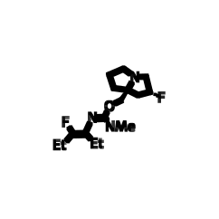 CC/C(F)=C(CC)/N=C(\NC)OC[C@@]12CCCN1C[C@H](F)C2